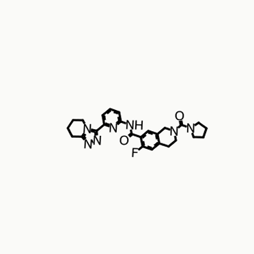 O=C(Nc1cccc(-c2nnc3n2CCCC3)n1)c1cc2c(cc1F)CCN(C(=O)N1CCCC1)C2